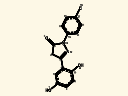 O=C1CC(c2cc(O)ccc2O)=NN1c1ccc(Cl)cc1